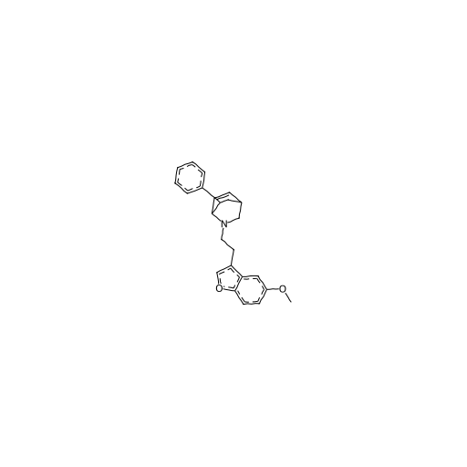 COc1ccc2occ(CCN3CC4C=CC3C(c3ccccc3)C4)c2c1